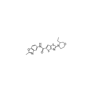 CCC1COCCN1c1nc2sc(C(=O)Nc3ccc4oc(C)nc4c3)cc2s1